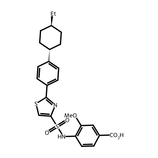 CC[C@H]1CC[C@H](c2ccc(-c3nc(S(=O)(=O)Nc4ccc(C(=O)O)cc4OC)cs3)cc2)CC1